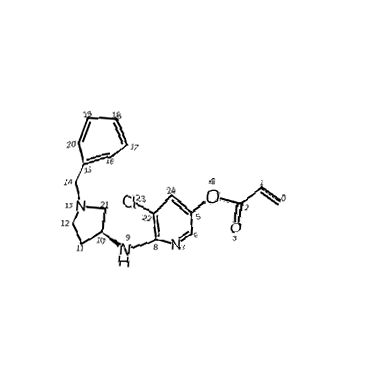 C=CC(=O)Oc1cnc(N[C@H]2CCN(Cc3ccccc3)C2)c(Cl)c1